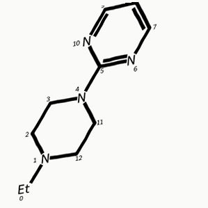 CCN1CCN(c2ncccn2)CC1